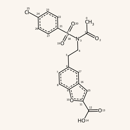 CC(=O)N(CCc1ccc2oc(C(=O)O)cc2c1)S(=O)(=O)c1ccc(Cl)cc1